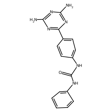 Nc1nc(N)nc(-c2ccc(NC(=O)Nc3ccccc3)cc2)n1